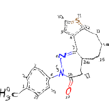 Cc1ccc(N2N=C3c4ccsc4CCCC3CC2=O)cc1